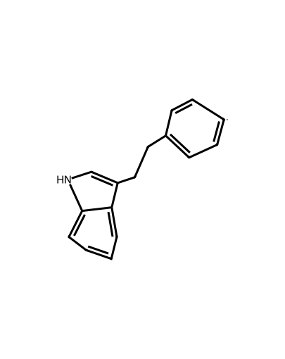 [c]1ccc(CCc2c[nH]c3ccccc23)cc1